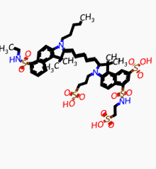 CCCCCN1/C(=C/C=C/C=C/C2N(CCCS(=O)(=O)O)c3ccc4c(S(=O)(=O)NCCS(=O)(=O)O)cc(S(=O)(=O)O)cc4c3C2(C)C)C(C)(C)c2c1ccc1c(S(=O)(=O)NCC)cccc21